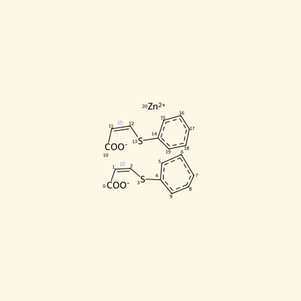 O=C([O-])/C=C\Sc1ccccc1.O=C([O-])/C=C\Sc1ccccc1.[Zn+2]